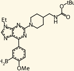 Bc1cc(-c2nc(N3CCC(CNC(=O)OC(C)(C)C)CC3)nc3c2ncn3CC)ccc1OC